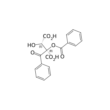 O=C(O[C@@](C(=O)O)(C(=O)c1ccccc1)[C@H](O)C(=O)O)c1ccccc1